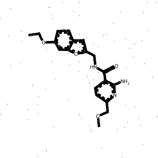 CCOc1ccc2cc(CNC(=O)c3ccc(COC)nc3N)oc2c1